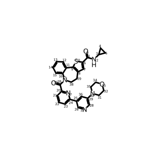 O=C(NC1CC1)c1cc2c(s1)-c1ccccc1N(C(=O)c1cccc(-c3cncc(N4CCOCC4)c3)n1)CC2